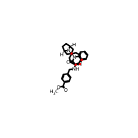 COC(=O)c1ccc(CNc2nc3ccccc3n([C@H]3C[C@H]4CC[C@@H](C3)N4C3CCCCCCC3)c2=O)cc1